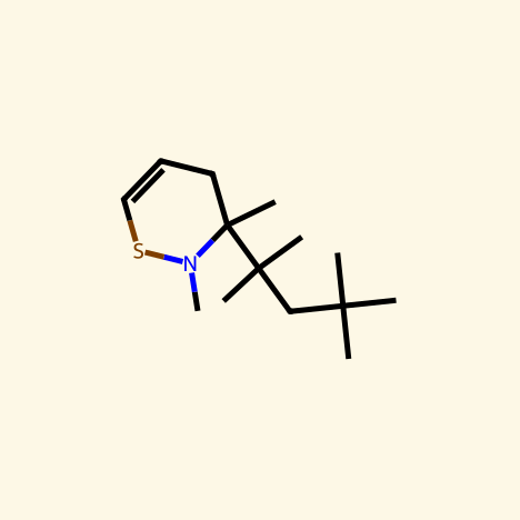 CN1SC=CCC1(C)C(C)(C)CC(C)(C)C